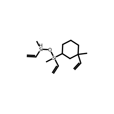 C=C[SiH](C)O[Si](C)(C=C)C1CCCC(C)(C=C)C1